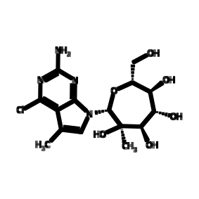 Cc1cn([C@@H]2O[C@H](CO)[C@@H](O)[C@H](O)[C@@H](O)[C@@]2(C)O)c2nc(N)nc(Cl)c12